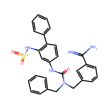 N=C(N)c1cccc(CN(Cc2ccccc2)C(=O)Nc2ccc(-c3ccccc3)c(N[SH](=O)=O)c2)c1